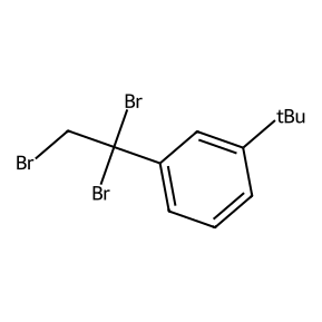 CC(C)(C)c1cccc(C(Br)(Br)CBr)c1